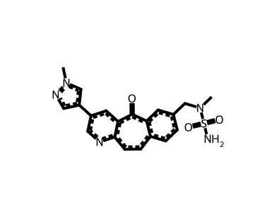 CN(Cc1ccc2ccc3ncc(-c4cnn(C)c4)cc3c(=O)c2c1)S(N)(=O)=O